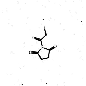 O=C(CI)N1C(=O)CCC1=O